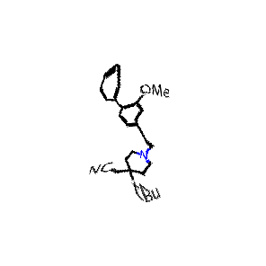 COc1cc(CN2CCC(CC#N)(C(C)(C)C)CC2)ccc1-c1ccccc1